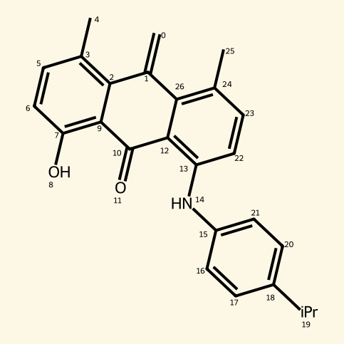 C=C1c2c(C)ccc(O)c2C(=O)c2c(Nc3ccc(C(C)C)cc3)ccc(C)c21